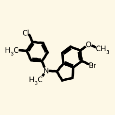 COc1ccc2c(c1Br)CCC2N(C)c1ccc(Cl)c(C)c1